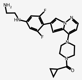 NCCNc1cc(F)c(-c2cc3c(N4CCN(C(=O)C5CC5)CC4)ccnn3c2)c(F)c1